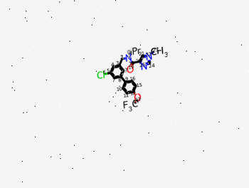 CC(C)N(Cc1cc(Cl)cc(-c2ccc(OC(F)(F)F)cc2)c1)C(=O)c1cn(C)cn1